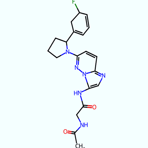 CC(=O)NCC(=O)Nc1cnc2ccc(N3CCCC3C3=CC=CC(F)C3)nn12